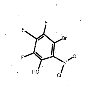 [O-][S+](Cl)c1c(O)c(F)c(F)c(F)c1Br